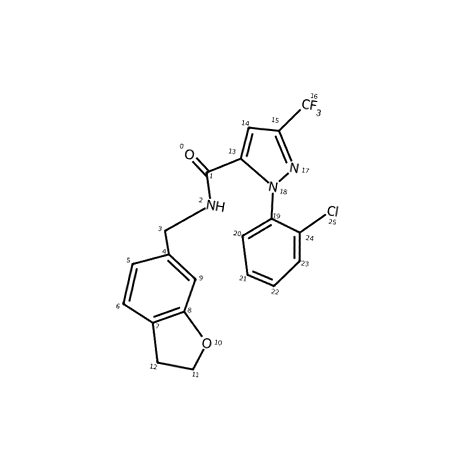 O=C(NCc1ccc2c(c1)OCC2)c1cc(C(F)(F)F)nn1-c1ccccc1Cl